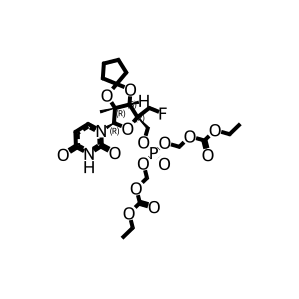 CCOC(=O)OCOP(=O)(OCOC(=O)OCC)OC[C@@]1(CF)O[C@@H](n2ccc(=O)[nH]c2=O)[C@]2(C)OC3(CCCC3)O[C@H]12